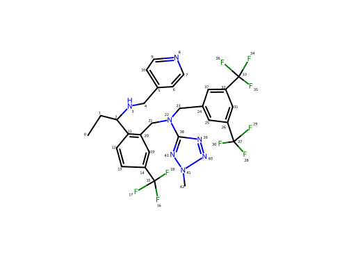 CCC(NCc1ccncc1)c1ccc(C(F)(F)F)cc1CN(Cc1cc(C(F)(F)F)cc(C(F)(F)F)c1)c1nnn(C)n1